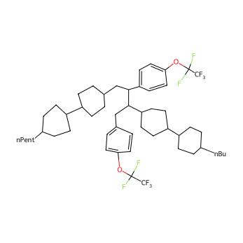 CCCCCC1CCC(C2CCC(CC(c3ccc(OC(F)(F)C(F)(F)F)cc3)C(Cc3ccc(OC(F)(F)C(F)(F)F)cc3)C3CCC(C4CCC(CCCC)CC4)CC3)CC2)CC1